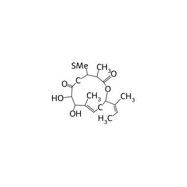 C/C=C(/C)C1C/C=C(\C)C(O)C(O)C(=O)CC(SC)C(C)C(=O)O1